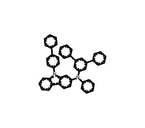 c1ccc(-c2ccc(-n3c4ccccc4c4ccc(N(c5ccccc5)c5cc(-c6ccccc6)cc(-c6ccccc6)c5)cc43)cc2)cc1